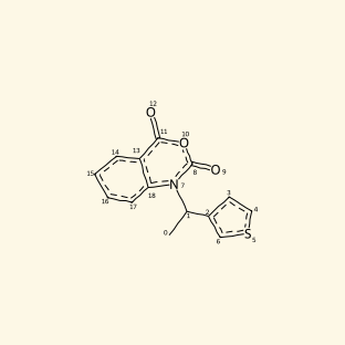 CC(c1ccsc1)n1c(=O)oc(=O)c2ccccc21